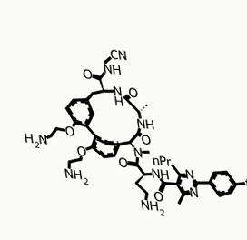 CCCc1nc(-c2ccc(C(C)(C)C)cc2)nc(C)c1C(=O)N[C@@H](CCN)C(=O)N(C)[C@@H]1C(=O)N[C@@H](C)C(=O)N[C@H](C(=O)NCC#N)Cc2ccc(OCCN)c(c2)-c2cc1ccc2OCCN